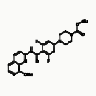 COc1cccc2ccc(NC(=O)c3c(F)cc(N4CCN(C(=O)OC(C)(C)C)CC4)cc3F)nc12